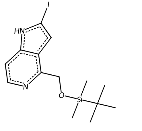 CC(C)(C)[Si](C)(C)OCc1nccc2[nH]c(I)cc12